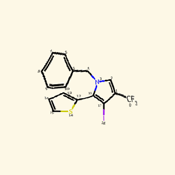 FC(F)(F)c1cn(Cc2ccccc2)c(-c2cccs2)c1I